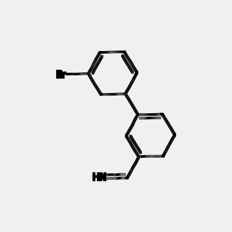 N=CC1=CC(C2C=CC=C(Br)C2)=CCC1